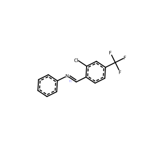 FC(F)(F)c1ccc(/C=N/c2ccccc2)c(Cl)c1